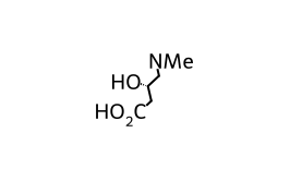 CNC[C@@H](O)CC(=O)O